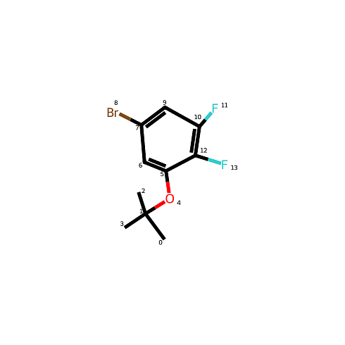 CC(C)(C)Oc1cc(Br)cc(F)c1F